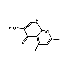 Cc1cc(C)c2c(=O)c(C(=O)O)c[nH]c2n1